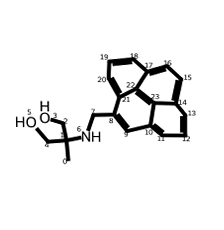 CC(CO)(CO)NCc1cc2cccc3ccc4cccc1c4c32